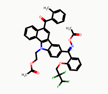 CC(=O)OCCn1c2ccc(/C(=N\OC(C)=O)c3ccccc3OCC(F)(F)C(F)F)cc2c2cc(C(=O)c3ccccc3C)c3ccccc3c21